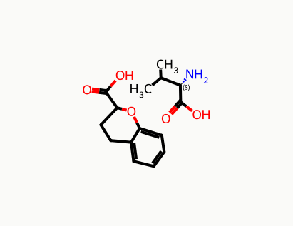 CC(C)[C@H](N)C(=O)O.O=C(O)C1CCc2ccccc2O1